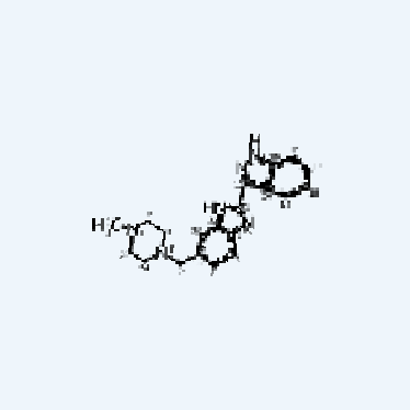 CN1CCN(Cc2ccc3nc(-c4n[nH]c5ccccc45)[nH]c3c2)CC1